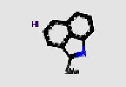 CSC1=Nc2cccc3cccc1c23.I